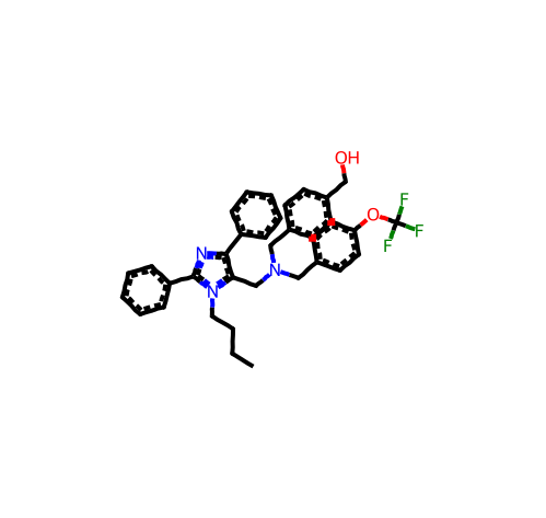 CCCCn1c(-c2ccccc2)nc(-c2ccccc2)c1CN(Cc1ccc(CO)cc1)Cc1ccc(OC(F)(F)F)cc1